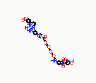 C[S+]([O-])c1ccc(-c2ccc/c(=N/C(=N)Nc3ccc(N4CCN(C(=O)CCOCCOCCOCCOCCNc5ccc6c(c5)C(=O)N(C5CCC(=O)NC5=O)C6=O)CC4)cc3)[nH]2)cc1